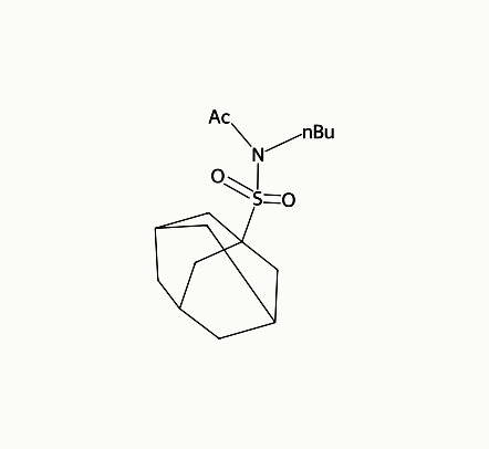 CCCCN(C(C)=O)S(=O)(=O)C12CC3CC(CC(C3)C1)C2